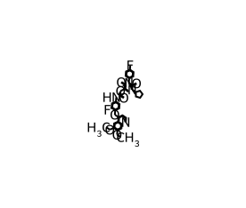 COc1cc2nccc(Oc3ccc(NC(=O)Oc4cn(C5CCCC5)c(=O)n(-c5ccc(F)cc5)c4=O)cc3F)c2cc1OC